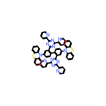 c1ccc(-c2nc(-c3ccccn3)nc(-c3cc(N4c5ccccc5Sc5ccccc54)ccc3-c3ccc(N4c5ccccc5Sc5ccccc54)cc3-c3nc(-c4ccccn4)nc(-c4ccccn4)n3)n2)nc1